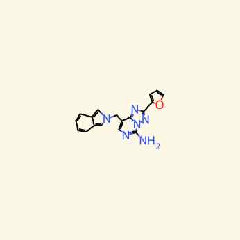 Nc1ncc(Cn2cc3ccccc3c2)c2nc(-c3ccco3)nn12